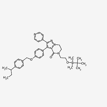 CCC(C)c1ccc(COc2ccc(-c3c(-c4ccncc4)nn4c3C(=O)N(CCO[Si](C)(C)C(C)(C)C)CC4)cc2)cc1